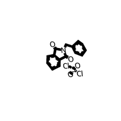 O=C1c2ccccc2C(=O)N1Cc1ccccc1.O=S(=O)(Cl)Cl